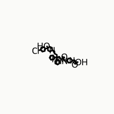 O=C(O)CN1CCC(NC(=O)NCC(CCCN2CCC(O)(c3ccc(Cl)cc3)CC2)(c2ccccc2)c2ccccc2)CC1